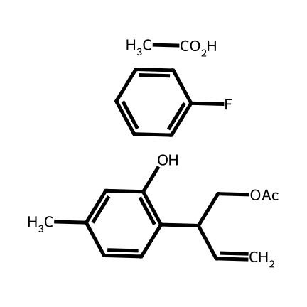 C=CC(COC(C)=O)c1ccc(C)cc1O.CC(=O)O.Fc1ccccc1